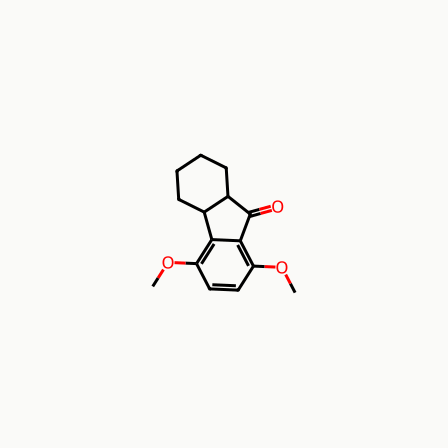 COc1ccc(OC)c2c1C(=O)C1CCCCC21